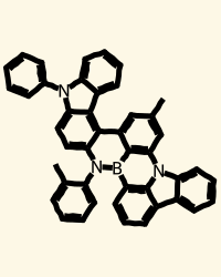 Cc1cc2c3c(c1)-n1c4ccccc4c4cccc(c41)B3N(c1ccccc1C)c1ccc3c(c1-2)c1ccccc1n3-c1ccccc1